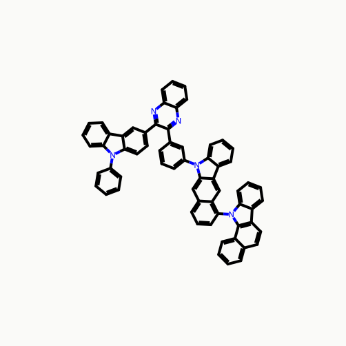 c1ccc(-n2c3ccccc3c3cc(-c4nc5ccccc5nc4-c4cccc(-n5c6ccccc6c6cc7c(-n8c9ccccc9c9ccc%10ccccc%10c98)cccc7cc65)c4)ccc32)cc1